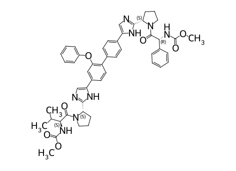 COC(=O)N[C@H](C(=O)N1CCC[C@H]1c1ncc(-c2ccc(-c3ccc(-c4cnc([C@@H]5CCCN5C(=O)[C@H](NC(=O)OC)c5ccccc5)[nH]4)cc3)c(Oc3ccccc3)c2)[nH]1)C(C)C